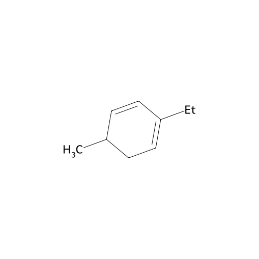 CCC1=CCC(C)C=C1